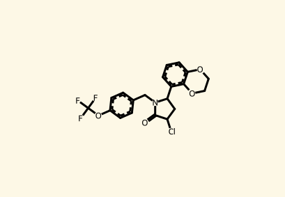 O=C1C(Cl)CC(c2cccc3c2OCCO3)N1Cc1ccc(OC(F)(F)F)cc1